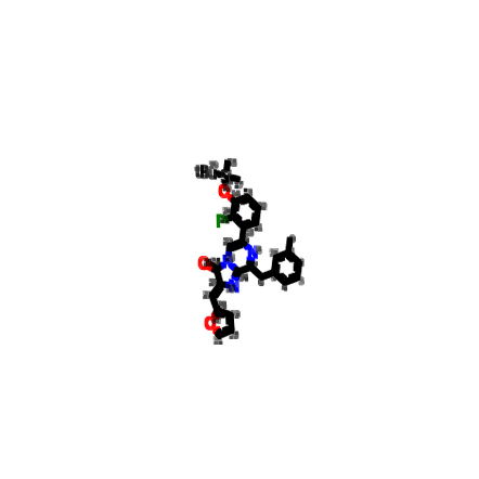 Cc1cccc(CC2=NC(c3cccc(O[Si](C)(C)C(C)(C)C)c3F)=CN3C(=O)C(=Cc4ccco4)N=C23)c1